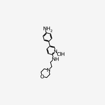 Cl.Nc1ccc(-c2ccc(NCCN3CCOCC3)nc2)cc1